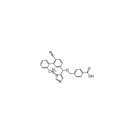 Cc1ccccc1-c1cc(C(OCc2ccc(C(=O)O)cc2)c2cncn2C)ccc1C#N